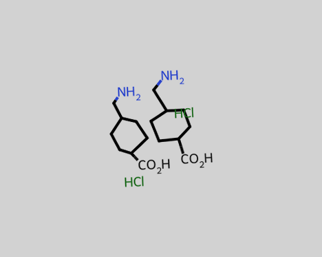 Cl.Cl.NCC1CCC(C(=O)O)CC1.NCC1CCC(C(=O)O)CC1